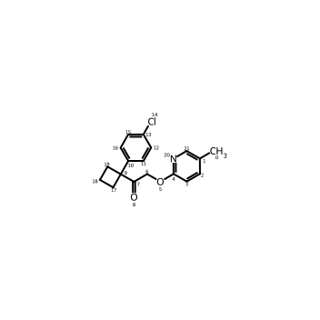 Cc1ccc(OCC(=O)C2(c3ccc(Cl)cc3)CCC2)nc1